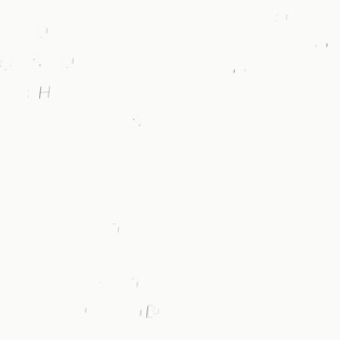 CC(C)(C)OC(=O)COc1cccc([S+](c2ccccc2)c2cccc(OCC(=O)OC(C)(C)C)c2)c1.CS(=O)(=O)[O-]